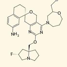 N#CCC1CN(c2nc(OC[C@@]34CCCN3C[C@H](F)C4)nc3c2CO[C@@]2(CCCc4ccc(N)cc42)C3)CCCO1